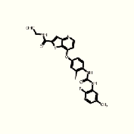 Cc1ccc(F)c(NC(=O)Nc2ccc(Oc3ccnc4cc(C(=O)NCC=O)sc34)cc2F)c1